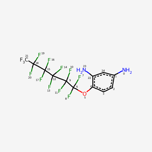 Nc1ccc(OC(F)(F)C(F)(F)C(F)(F)C(F)(F)C(F)(F)C(F)(F)F)c(N)c1